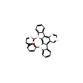 c1ccc(-n2c3ccccc3c3c4cncnc4c4c5ccccc5n(-c5ncccn5)c4c32)cc1